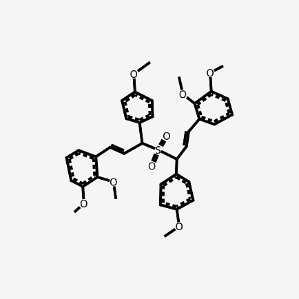 COc1ccc(C(C=Cc2cccc(OC)c2OC)S(=O)(=O)C(C=Cc2cccc(OC)c2OC)c2ccc(OC)cc2)cc1